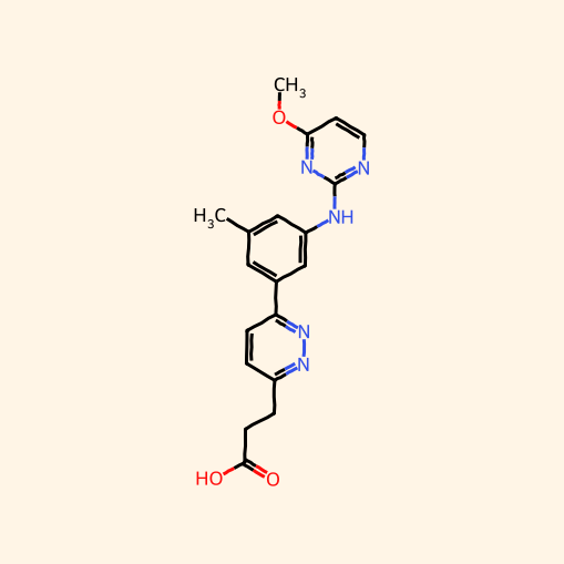 COc1ccnc(Nc2cc(C)cc(-c3ccc(CCC(=O)O)nn3)c2)n1